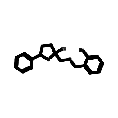 CCC1(COCc2ccccc2Br)CCC(c2ccccc2)O1